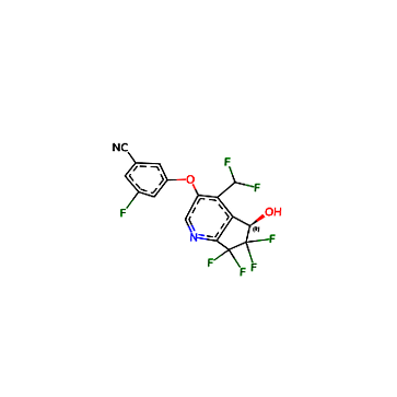 N#Cc1cc(F)cc(Oc2cnc3c(c2C(F)F)[C@@H](O)C(F)(F)C3(F)F)c1